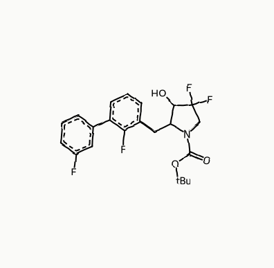 CC(C)(C)OC(=O)N1CC(F)(F)C(O)C1Cc1cccc(-c2cccc(F)c2)c1F